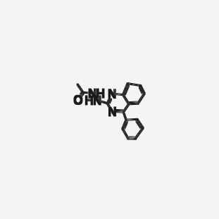 CC(=O)NNc1nc(-c2ccccc2)c2ccccc2n1